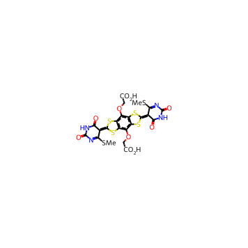 CSC1=NC(=O)NC(=O)C1=C1Sc2c(OCC(=O)O)c3c(c(OCC(=O)O)c2S1)SC(=C1C(=O)NC(=O)N=C1SC)S3